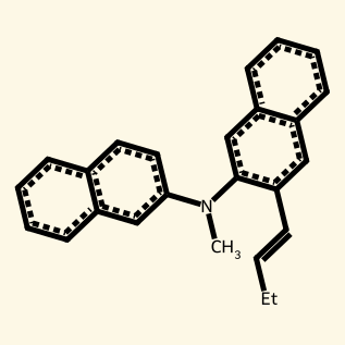 CC/C=C/c1cc2ccccc2cc1N(C)c1ccc2ccccc2c1